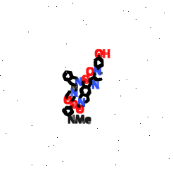 CNc1cccc(OC(=O)N2CCc3cc(-c4cc(C(=O)N(C)c5ccc(O)cc5)c(C)n4C)c(C(=O)N4Cc5ccccc5C[C@H]4CN4CCOCC4)cc3C2)c1